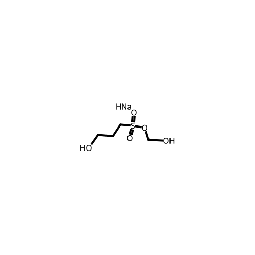 O=S(=O)(CCCO)OCO.[NaH]